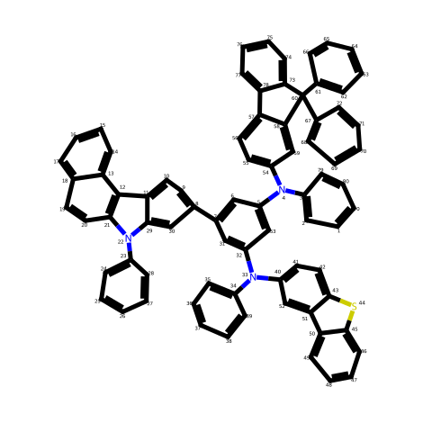 c1ccc(N(c2cc(-c3ccc4c5c6ccccc6ccc5n(-c5ccccc5)c4c3)cc(N(c3ccccc3)c3ccc4sc5ccccc5c4c3)c2)c2ccc3c(c2)C(c2ccccc2)(c2ccccc2)c2ccccc2-3)cc1